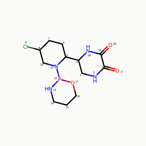 O=C1NCC(C2CCC(Cl)CN2P2NCCCO2)NC1=O